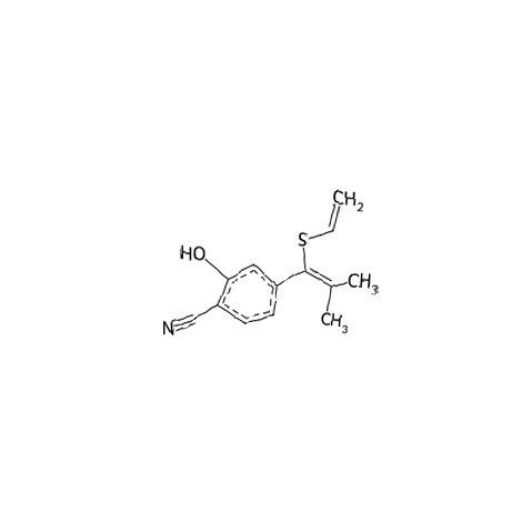 C=CSC(=C(C)C)c1ccc(C#N)c(O)c1